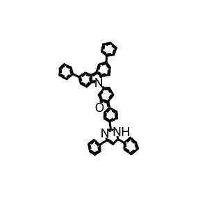 C1=C(c2ccccc2)N=C(c2ccc3c(c2)oc2cc(-n4c5ccc(-c6ccccc6)cc5c5cc(-c6ccccc6)ccc54)ccc23)NC1c1ccccc1